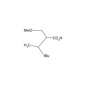 COCC(C(=O)O)C(C)C(C)(C)C